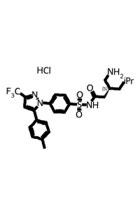 Cc1ccc(-c2cc(C(F)(F)F)nn2-c2ccc(S(=O)(=O)NC(=O)C[C@@H](CN)CC(C)C)cc2)cc1.Cl